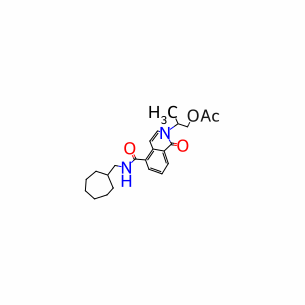 CC(=O)OCC(C)n1ccc2c(C(=O)NCC3CCCCCC3)cccc2c1=O